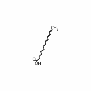 CC=CC=CC=CCCCCCCCC(=O)O